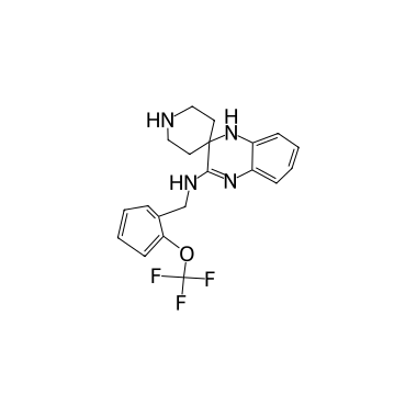 FC(F)(F)Oc1ccccc1CNC1=Nc2ccccc2NC12CCNCC2